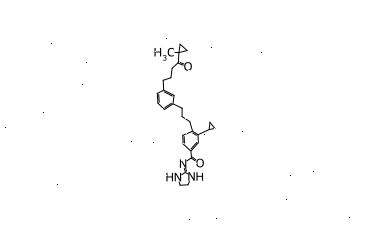 CC1(C(=O)CCCc2cccc(CCCc3ccc(C(=O)N=C4NCCN4)cc3C3CC3)c2)CC1